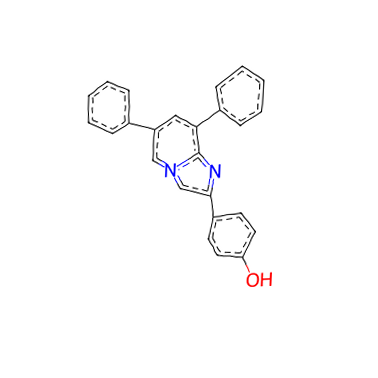 Oc1ccc(-c2cn3cc(-c4ccccc4)cc(-c4ccccc4)c3n2)cc1